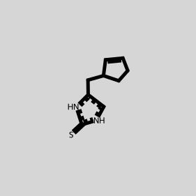 S=c1[nH]cc(CC2C=CCC2)[nH]1